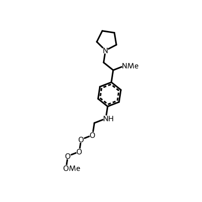 CNC(CN1CCCC1)c1ccc(NCOOOOOC)cc1